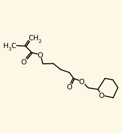 C=C(C)C(=O)OCCCCC(=O)OCC1CCCCO1